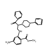 COC(=O)c1ccc(N)cc1NCC(C(=O)c1ccccc1)N1CCN(c2ccccc2)CC1